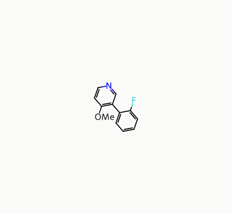 COc1ccncc1-c1ccccc1F